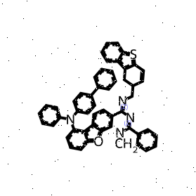 C=N/C(=N\C(=N/CC1C=Cc2sc3ccccc3c2C1)c1ccc2c(c1)oc1cccc(N(c3ccccc3)c3ccc(-c4ccccc4)cc3)c12)c1ccccc1